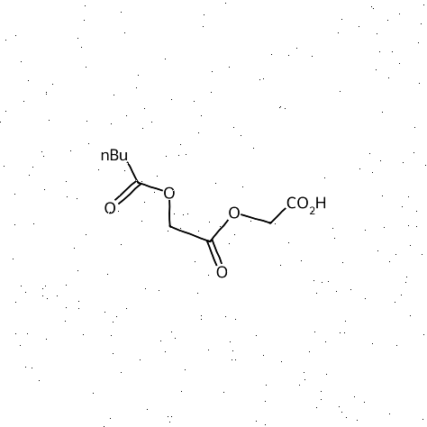 CCCCC(=O)OCC(=O)OCC(=O)O